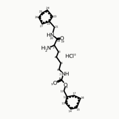 Cl.NC(CCCCNC(=O)OCc1ccccc1)C(=O)NCc1ccccc1